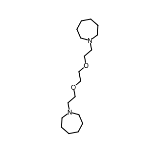 C1CCCN(CCOCCOCCN2CCCCCC2)CC1